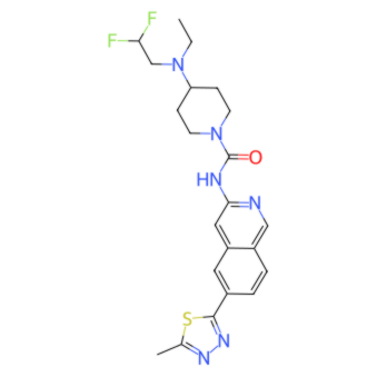 CCN(CC(F)F)C1CCN(C(=O)Nc2cc3cc(-c4nnc(C)s4)ccc3cn2)CC1